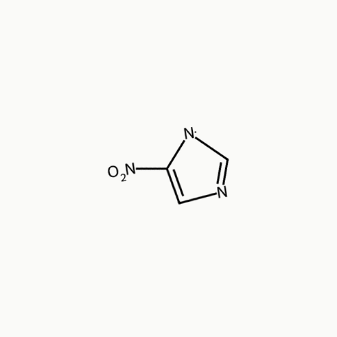 O=[N+]([O-])C1=CN=C[N]1